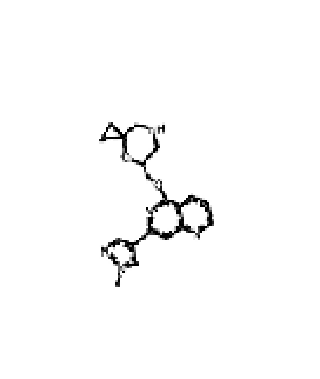 Cn1cc(-c2cc3ncccc3c(OC[C@@H]3CNCC4(CC4)O3)n2)cn1